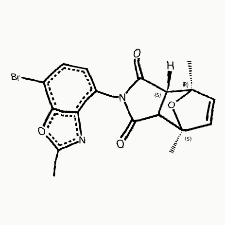 Cc1nc2c(N3C(=O)C4[C@H](C3=O)[C@@]3(C)C=C[C@]4(C)O3)ccc(Br)c2o1